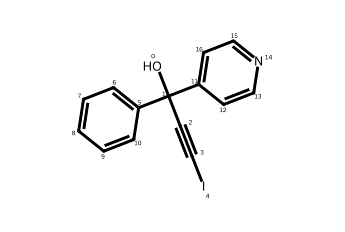 OC(C#CI)(c1ccccc1)c1ccncc1